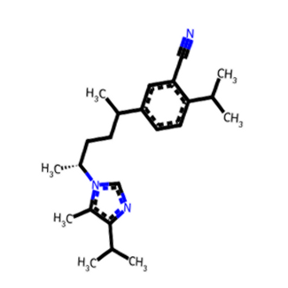 Cc1c(C(C)C)ncn1[C@H](C)CCC(C)c1ccc(C(C)C)c(C#N)c1